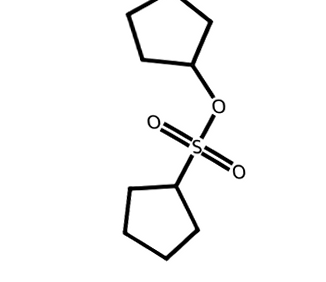 O=S(=O)(OC1CCCC1)C1CCCC1